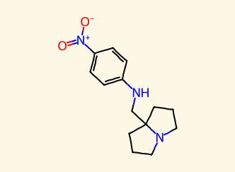 O=[N+]([O-])c1ccc(NCC23CCCN2CCC3)cc1